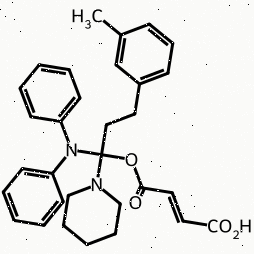 Cc1cccc(CCC(OC(=O)C=CC(=O)O)(N2CCCCC2)N(c2ccccc2)c2ccccc2)c1